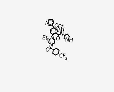 CCOC1(c2cccnc2)C=CC(N2CCN(C(=O)[C@H]3CC[C@@H](C(F)(F)F)CC3)C[C@H]2CC)=C(C(=O)N[C@@H]2CCNC2)N1